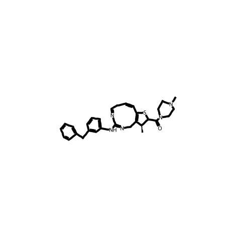 C[C@H]1C2=C(/C=C\C/C=N\C(Nc3cccc(Cc4ccccc4)c3)=N/C2)SC1C(=O)N1CCN(C)CC1